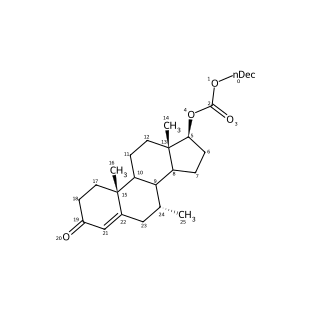 CCCCCCCCCCOC(=O)O[C@H]1CCC2C3C(CC[C@@]21C)[C@@]1(C)CCC(=O)C=C1C[C@H]3C